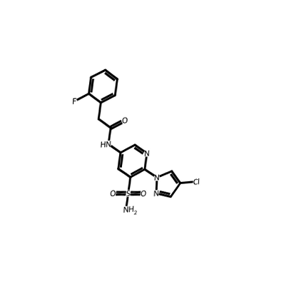 NS(=O)(=O)c1cc(NC(=O)Cc2ccccc2F)cnc1-n1cc(Cl)cn1